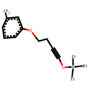 CC[Si](CC)(CC)OC#CCCOc1cccc(C(F)(F)F)c1